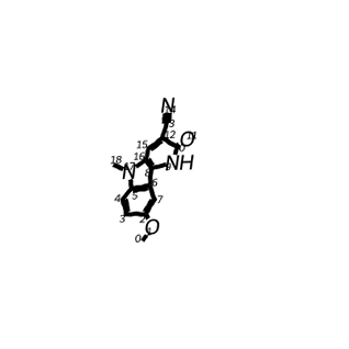 COc1ccc2c(c1)c1[nH]c(=O)c(C#N)cc1n2C